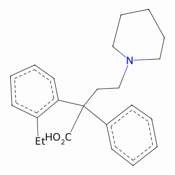 CCc1ccccc1C(CCN1CCCCC1)(C(=O)O)c1ccccc1